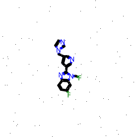 FCn1c(-c2cncc(Cn3ccnc3)c2)nc2ccc(F)cc21